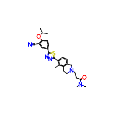 Cc1c(-c2nnc(-c3ccc(OC(C)C)c(C#N)c3)s2)ccc2c1CCN(CCC(=O)N(C)C)C2